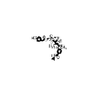 CCN(C(=O)OCOC(=O)Cc1ccc(O)cc1)C(=O)c1c[nH]c(C(=N)Nc2cc(C(=O)NC3CC3)ccc2C)c1C